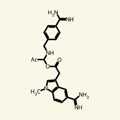 CC(=O)C(NCc1ccc(C(=N)N)cc1)OC(=O)Cc1cn(C)c2ccc(C(=N)N)cc12